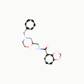 O=C(NCC1CN(Cc2ccccc2)CCO1)c1cccc2c1OCO2